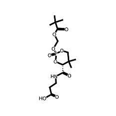 CC(C)(C)C(=O)OCOP1(=O)OCC(C)(C)[C@H](C(=O)NCCC(=O)O)O1